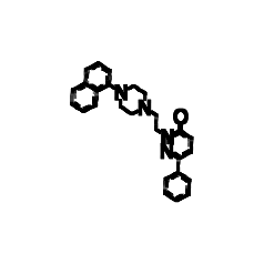 O=c1ccc(-c2ccccc2)nn1CCN1CCN(c2cccc3ccccc23)CC1